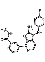 CNC(=O)c1cc(-c2nccc3c(Nc4ccc(F)cc4)c(N)oc23)ccn1